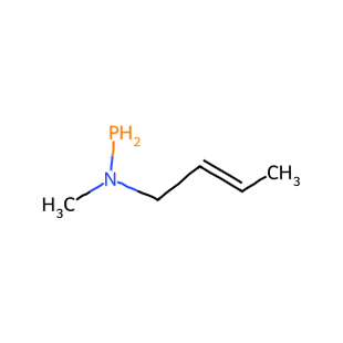 CC=CCN(C)P